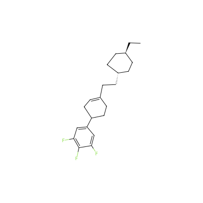 CC[C@H]1CC[C@H](CCC2=CCC(c3cc(F)c(F)c(F)c3)CC2)CC1